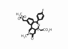 Cn1cc2c(cc1=O)[C@H](CC(=O)O)N=C(c1ccc(F)cc1)c1ccc(CS(C)(=O)=O)cc1-2